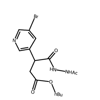 CCCCOC(=O)CC(C(=O)NNC(C)=O)c1cncc(Br)c1